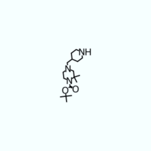 CC(C)(C)OC(=O)N1CCN(CC2CCNCC2)CC1(C)C